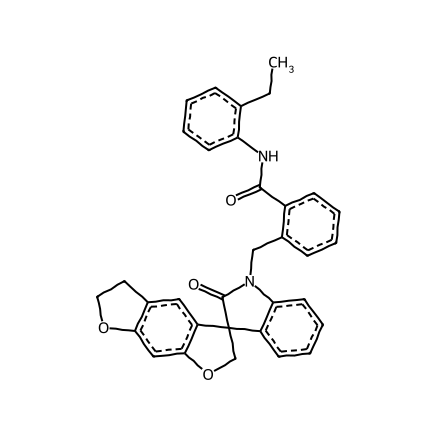 CCc1ccccc1NC(=O)c1ccccc1CN1C(=O)C2(COc3cc4c(cc32)CCO4)c2ccccc21